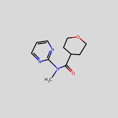 CN(C(=O)C1CCOCC1)c1ncccn1